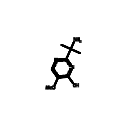 COc1cnc(C(C)(C)N)nc1O